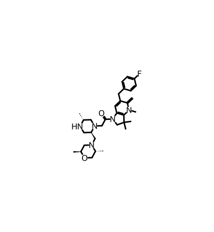 C=C1C(Cc2ccc(F)cc2)=CC2=C(N1C)C(C)(C)CN2C(=O)CN1C[C@@H](C)NC[C@@H]1CN1C[C@H](C)OC[C@H]1C